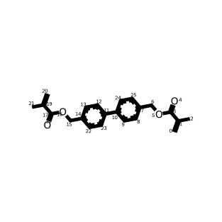 C=C(C)C(=O)OCc1ccc(-c2ccc(COC(=O)C(=C)C)cc2)cc1